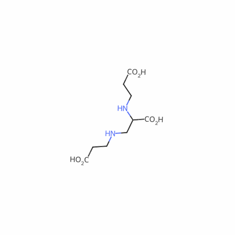 O=C(O)CCNCC(NCCC(=O)O)C(=O)O